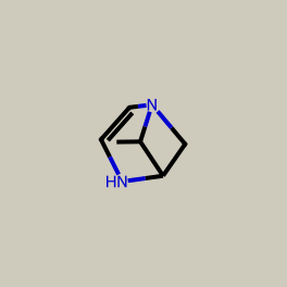 CC1C2CN1C=CN2